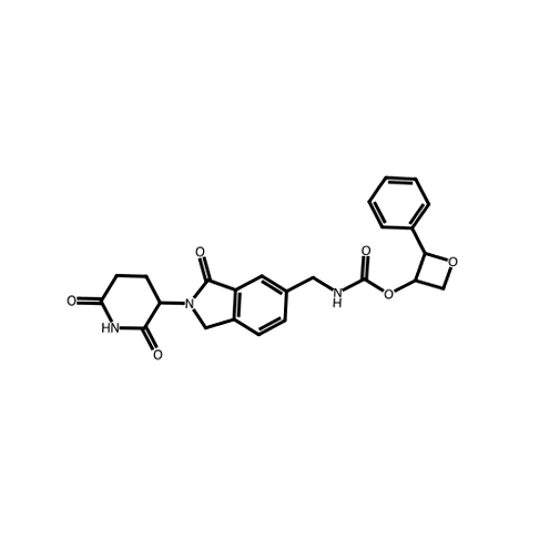 O=C1CCC(N2Cc3ccc(CNC(=O)OC4COC4c4ccccc4)cc3C2=O)C(=O)N1